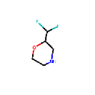 FC(F)C1CNCCO1